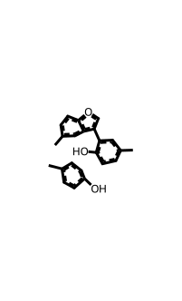 Cc1ccc(O)c(-c2coc3ccc(C)cc23)c1.Cc1ccc(O)cc1